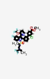 C=C/C(=C\C=C(/C)[S+]([O-])n1c(-c2cccc(C3=C(Cl)C=C(C(=O)OC)CC3)c2)c(-c2ncccc2OC(F)F)c2cc(F)ccc21)C(F)F